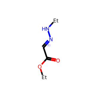 CCN/N=C/C(=O)OCC